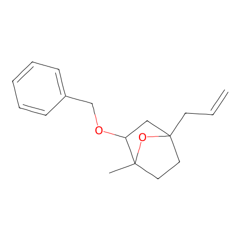 C=CCC12CCC(C)(O1)C(OCc1ccccc1)C2